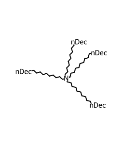 CCCCCCCCCCCCCCCCCCCC[N+](CCCCCCCCCCCCCCCCCCCC)(CCCCCCCCCCCCCCCCCCCC)CCCCCCCCCCCCCCCCCCCC